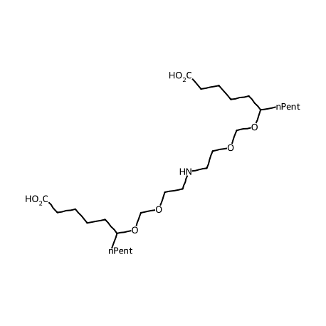 CCCCCC(CCCCC(=O)O)OCOCCNCCOCOC(CCCCC)CCCCC(=O)O